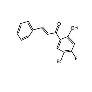 O=C(/C=C/c1ccccc1)c1cc(Br)c(F)cc1O